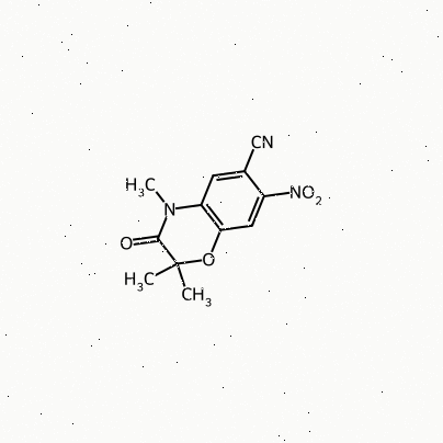 CN1C(=O)C(C)(C)Oc2cc([N+](=O)[O-])c(C#N)cc21